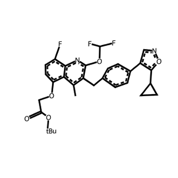 Cc1c(Cc2ccc(-c3cnoc3C3CC3)cc2)c(OC(F)F)nc2c(F)ccc(OCC(=O)OC(C)(C)C)c12